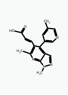 Cc1cncc(-c2c(C=CC(=O)O)c(C)nc3c2cnn3C)c1